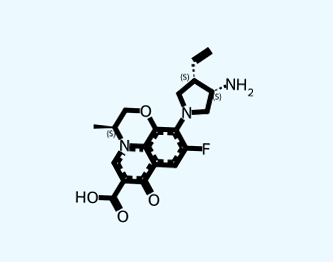 C=C[C@H]1CN(c2c(F)cc3c(=O)c(C(=O)O)cn4c3c2OC[C@@H]4C)C[C@H]1N